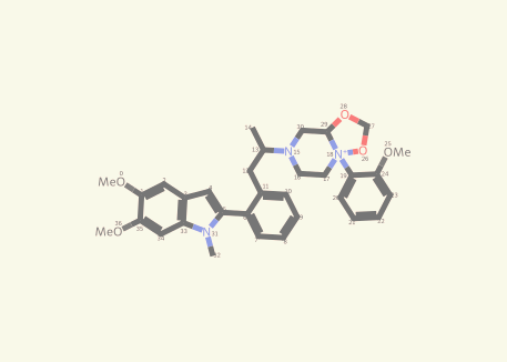 COc1cc2cc(-c3ccccc3CC(C)N3CC[N+]4(c5ccccc5OC)OCOC4C3)n(C)c2cc1OC